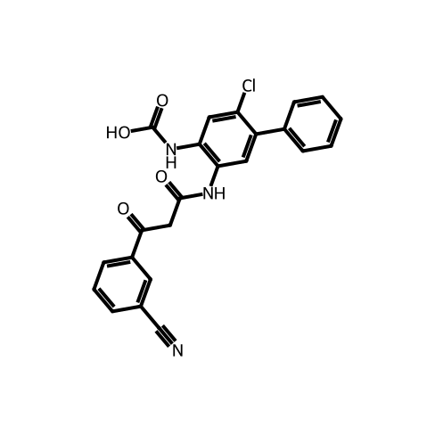 N#Cc1cccc(C(=O)CC(=O)Nc2cc(-c3ccccc3)c(Cl)cc2NC(=O)O)c1